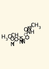 CC1CN(C(=O)N[C@@H]2CCc3c(-c4nnc(-c5ccc(OC(C)C)c(C#N)c5)s4)cccc32)C1